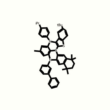 Cc1cc2c3c(c1)N(c1ccc(C(C)C)cc1)c1c(sc4ccc(C(C)(C)C)cc14)B3c1cc3c(cc1N2c1cccc(-c2ccccc2)c1)C(C)(C)CCC3(C)C